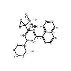 C[C@@H]1COCCN1c1nc(-c2cccc3ccccc23)cc(C2([S@](C)(=N)=O)CC2)n1